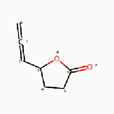 C=C=CC1CCC(=O)O1